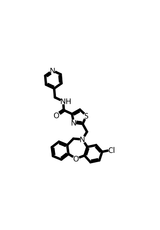 O=C(NCc1ccncc1)c1csc(CN2Cc3ccccc3Oc3ccc(Cl)cc32)n1